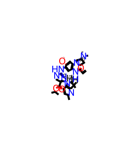 [2H]C1([2H])N(c2nc(Nc3cc(NC(=O)C=C)c(N4CC[C@@H](N(C)C)C4)cc3OC)ncc2C(=O)OC(C)C)c2ccc(C)nc2C1(C)C